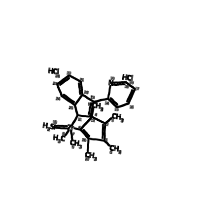 CC1=C(C)C(C)[C]([Zr]([CH3])([CH3])(=[SiH2])[CH]2C=C(c3ccccn3)c3ccccc32)=C1C.Cl.Cl